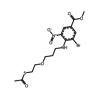 COC(=O)c1cc(Br)c(NCCCOCCSC(C)=O)c([N+](=O)[O-])c1